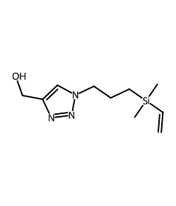 C=C[Si](C)(C)CCCn1cc(CO)nn1